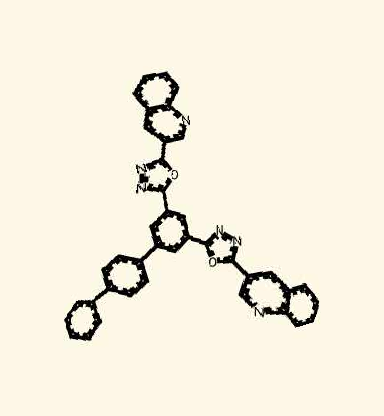 c1ccc(-c2ccc(-c3cc(-c4nnc(-c5cnc6ccccc6c5)o4)cc(-c4nnc(-c5cnc6ccccc6c5)o4)c3)cc2)cc1